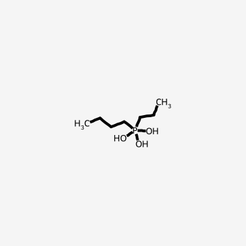 CCCCP(O)(O)(O)CCC